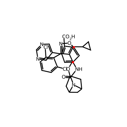 O=C(O)c1ccc(NC(=O)N2C3CC(OCc4c(-c5c(Cl)cccc5Cl)noc4C4CC4)CC2C3)cc1-c1cncnc1